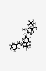 CNC(=O)[C@H](CC(C)(C)C)NC(=O)Oc1ccc(C(F)(F)F)c(OCC2CCOCC2)n1